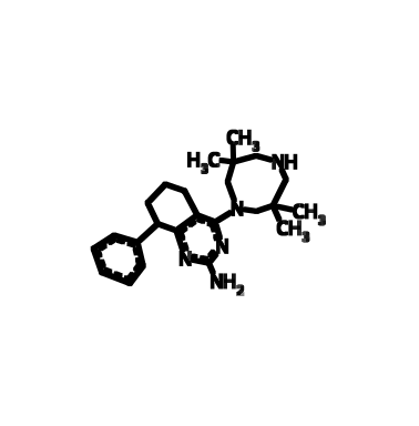 CC1(C)CNCC(C)(C)CN(c2nc(N)nc3c2CCCC3c2ccccc2)C1